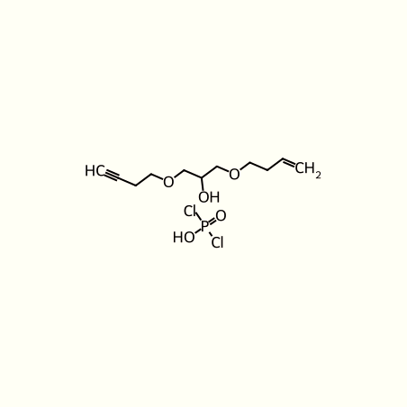 C#CCCOCC(O)COCCC=C.O=P(O)(Cl)Cl